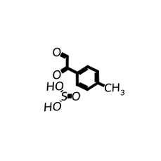 Cc1ccc(C(=O)C=O)cc1.O=S(O)O